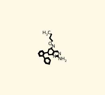 CCCCON=C1CC(c2ccccc2-c2ccccc2)Cc2nc(N)ncc21